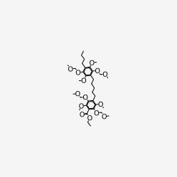 CCCCc1c(OC)c(OCOC)c(CCCCCc2c(OCOC)c(OC)c(C(=O)OCC)c(OCOC)c2OC)c(OC)c1OCOC